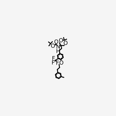 Cc1cccc(CCCOc2ccc(CCC3(NC(=O)OC(C)(C)C)COC(C)(C)OC3)cc2C(F)(F)F)c1